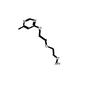 CCCOCCOCCOc1cc(C)ncn1